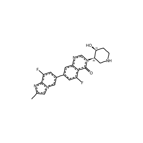 Cc1cn2cc(-c3cc(F)c4c(=O)n([C@@H]5CNCC[C@@H]5O)cnc4c3)cc(F)c2n1